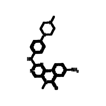 CN1CCN(c2ccc(Nc3ncc4c(n3)c3ccc(N)cc3c(=O)n4C)cc2)CC1